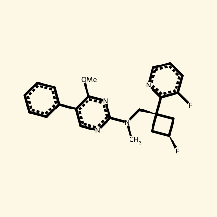 COc1nc(N(C)C[C@]2(c3ncccc3F)C[C@H](F)C2)ncc1-c1ccccc1